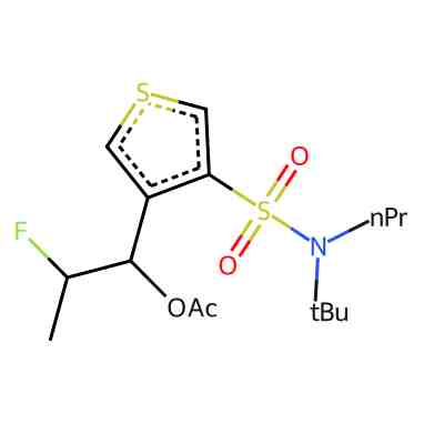 CCCN(C(C)(C)C)S(=O)(=O)c1cscc1C(OC(C)=O)C(C)F